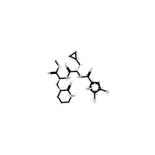 COC(=O)[C@H](C[C@@H]1CCCNC1=O)NC(=O)[C@H](CC1CC1)NC(=O)c1cc(Cl)c(Cl)[nH]1